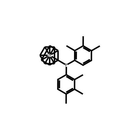 Cc1ccc(P(c2ccc(C)c(C)c2C)[C]23[CH]4[CH]5[CH]6[CH]2[Zr]56432789[CH]3[CH]2[CH]7[CH]8[CH]39)c(C)c1C